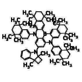 CC1(C)CCC(C)(C)c2cc(N3c4cc5c(cc4B4c6cc7c(cc6N(c6ccc8c(c6)C(C)(C)CCC8(C)C)c6cc(N8c9ccccc9C9(C)CCC89C)cc3c64)C(C)(C)CCC7(C)C)C(C)(C)CCC5(C)C)ccc21